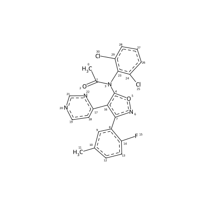 CC(=O)N(c1onc(-c2cc(C)ccc2F)c1-c1ccncn1)c1c(Cl)cccc1Cl